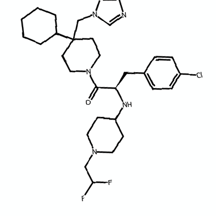 O=C([C@@H](Cc1ccc(Cl)cc1)NC1CCN(CC(F)F)CC1)N1CCC(Cn2cncn2)(C2CCCCC2)CC1